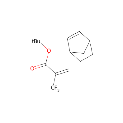 C1=CC2CCC1C2.C=C(C(=O)OC(C)(C)C)C(F)(F)F